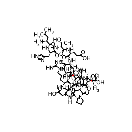 CC(C)C[C@H](N)C(=O)N[C@@H](Cc1c[nH]cn1)C(=O)N[C@H](C(=O)N[C@@H](CCC(=O)O)C(=O)N[C@@H](C)C(=O)N[C@@H](C)C(=O)N[C@@H](C)C(=O)N[C@H](C(=O)N[C@H](C(=O)N1CCC[C@H]1C(=O)N[C@@H](CC(=O)O)C(=O)N[C@@H](CCCNC(=N)N)C(=O)N[C@@H](CO)C(=O)N[C@@H](CCC(=O)O)C(=O)O)C(C)C)[C@@H](C)O)[C@@H](C)O